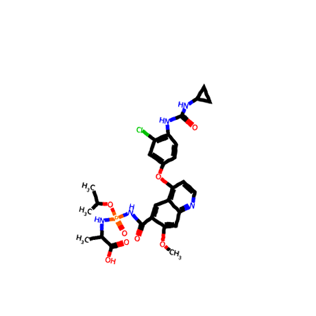 COc1cc2nccc(Oc3ccc(NC(=O)NC4CC4)c(Cl)c3)c2cc1C(=O)NP(=O)(NC(C)C(=O)O)OC(C)C